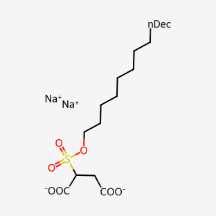 CCCCCCCCCCCCCCCCCCOS(=O)(=O)C(CC(=O)[O-])C(=O)[O-].[Na+].[Na+]